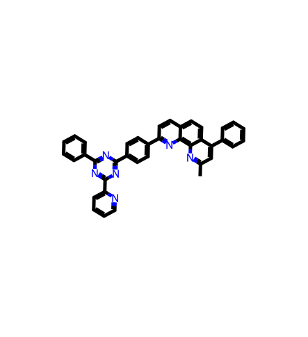 Cc1cc(-c2ccccc2)c2ccc3ccc(-c4ccc(-c5nc(-c6ccccc6)nc(-c6ccccn6)n5)cc4)nc3c2n1